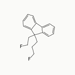 FCCCC1(CCF)c2ccccc2-c2ccccc21